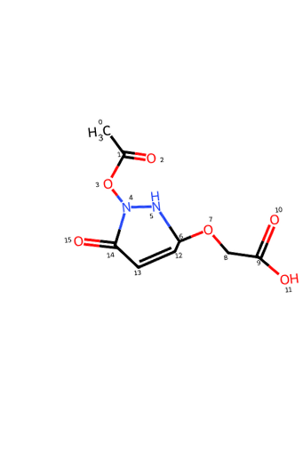 CC(=O)ON1NC(OCC(=O)O)C=CC1=O